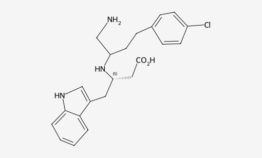 NCC(CCc1ccc(Cl)cc1)N[C@H](CC(=O)O)Cc1c[nH]c2ccccc12